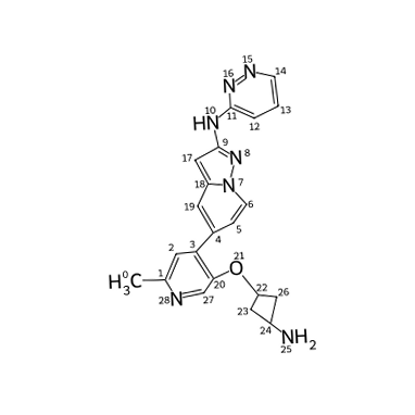 Cc1cc(-c2ccn3nc(Nc4cccnn4)cc3c2)c(OC2CC(N)C2)cn1